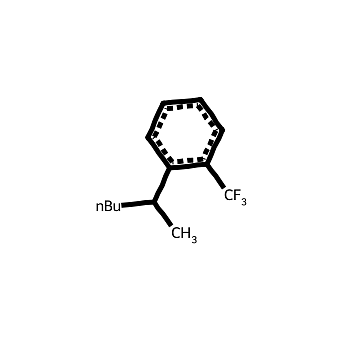 CCCCC(C)c1ccccc1C(F)(F)F